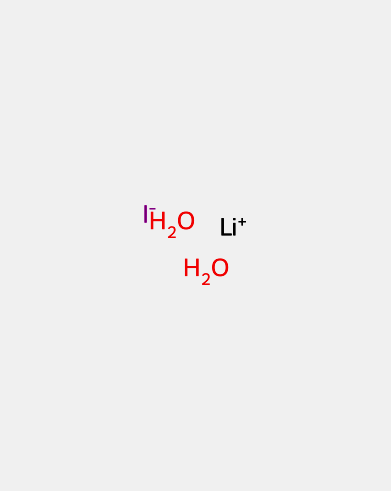 O.O.[I-].[Li+]